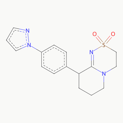 O=S1(=O)CCN2CCCC(c3ccc(-n4cccn4)cc3)C2=N1